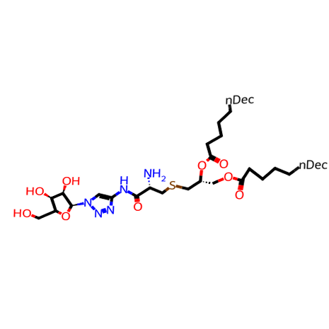 CCCCCCCCCCCCCCC(=O)OC[C@H](CSC[C@@H](N)C(=O)Nc1cn([C@H]2OC(CO)[C@@H](O)[C@H]2O)nn1)OC(=O)CCCCCCCCCCCCCC